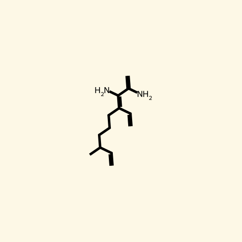 C=C/C(CCCC(C)C=C)=C(/N)C(=C)N